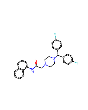 O=C(CN1CCN(C(c2ccc(F)cc2)c2ccc(F)cc2)CC1)Nc1cccc2ccccc12